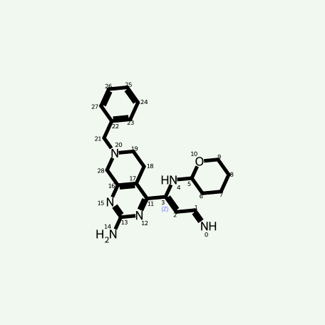 N=C/C=C(\NC1CCCCO1)c1nc(N)nc2c1CCN(Cc1ccccc1)C2